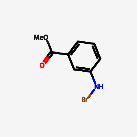 COC(=O)c1cccc(NBr)c1